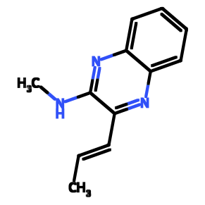 C/C=C/c1nc2ccccc2nc1NC